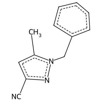 Cc1cc(C#N)nn1Cc1ccccc1